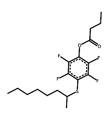 CCCCCCC(C)Sc1c(F)c(F)c(OC(=O)CCC)c(F)c1F